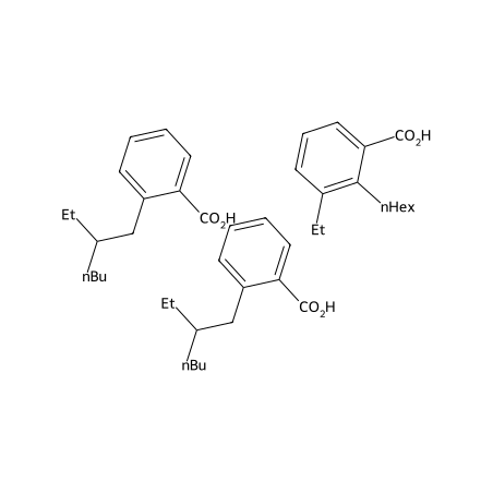 CCCCC(CC)Cc1ccccc1C(=O)O.CCCCC(CC)Cc1ccccc1C(=O)O.CCCCCCc1c(CC)cccc1C(=O)O